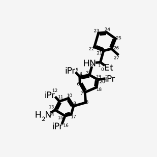 CCC(Nc1c(C(C)C)cc(Cc2cc(C(C)C)c(N)c(C(C)C)c2)cc1C(C)C)c1ccccc1C